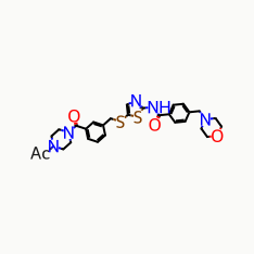 CC(=O)N1CCN(C(=O)c2cccc(CSc3cnc(NC(=O)c4ccc(CN5CCOCC5)cc4)s3)c2)CC1